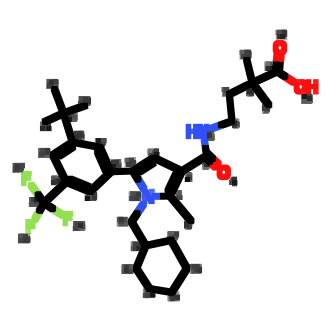 Cc1c(C(=O)NCCC(C)(C)C(=O)O)cc(-c2cc(C(C)(C)C)cc(C(F)(F)F)c2)n1CC1CCCCC1